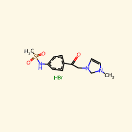 Br.CN1C=CN(CC(=O)c2ccc(NS(C)(=O)=O)cc2)C1